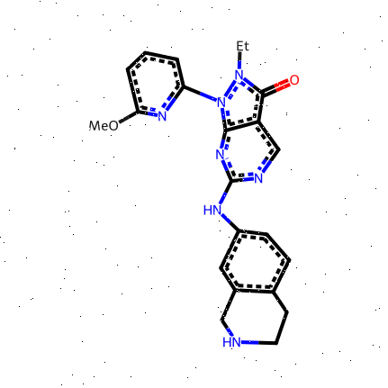 CCn1c(=O)c2cnc(Nc3ccc4c(c3)CNCC4)nc2n1-c1cccc(OC)n1